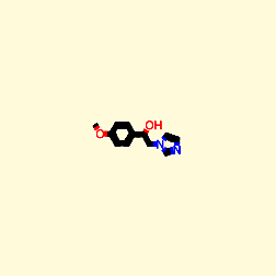 COc1ccc(C(O)Cn2ccnc2)cc1